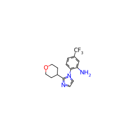 Nc1cc(C(F)(F)F)ccc1-n1ccnc1C1CCOCC1